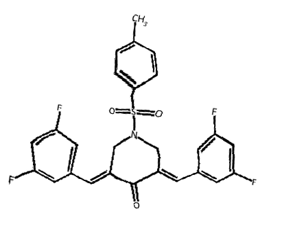 Cc1ccc(S(=O)(=O)N2CC(=Cc3cc(F)cc(F)c3)C(=O)C(=Cc3cc(F)cc(F)c3)C2)cc1